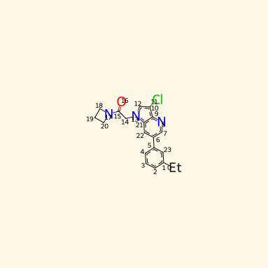 CCc1cccc(-c2cnc3c(Cl)cn(CC(=O)N4CCC4)c3c2)c1